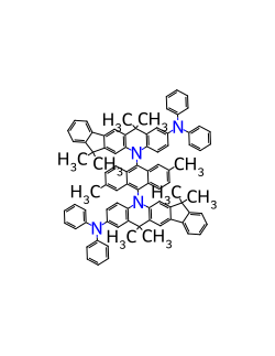 Cc1ccc2c(N3c4ccc(N(c5ccccc5)c5ccccc5)cc4C(C)(C)c4cc5c(cc43)C(C)(C)c3ccccc3-5)c3cc(C)ccc3c(N3c4ccc(N(c5ccccc5)c5ccccc5)cc4C(C)(C)c4cc5c(cc43)C(C)(C)c3ccccc3-5)c2c1